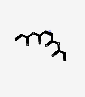 C=CC(=O)OC(=O)/C=C\C(=O)OC(=O)C=C